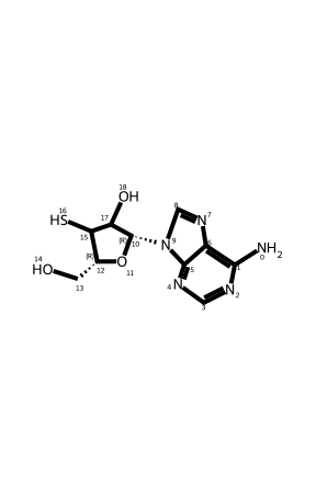 Nc1ncnc2c1ncn2[C@@H]1O[C@H](CO)C(S)C1O